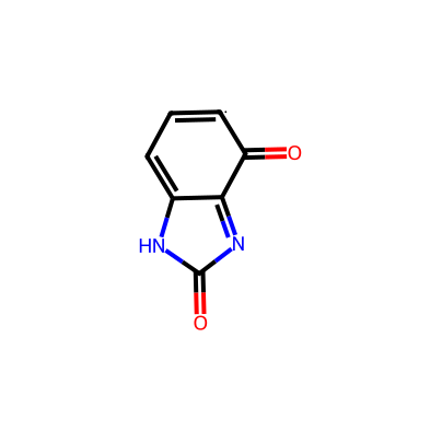 O=C1N=C2C(=O)[C]=CC=C2N1